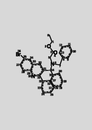 CCOC(=O)CN(Cc1ccccc1)C(c1ccccc1)c1cc2cc(Br)ccc2nc1-c1ccccc1